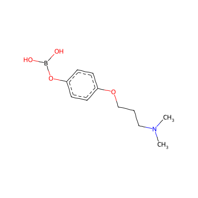 CN(C)CCCOc1ccc(OB(O)O)cc1